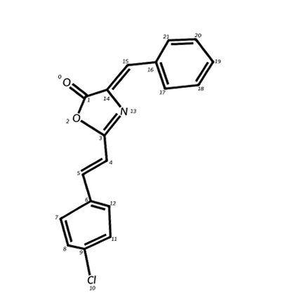 O=C1OC(/C=C/c2ccc(Cl)cc2)=NC/1=C\c1ccccc1